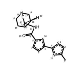 Cc1csc(-c2ccc(C(=O)N[C@H]3CN4CCC3CC4)s2)n1